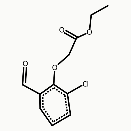 CCOC(=O)COc1c(Cl)cccc1C=O